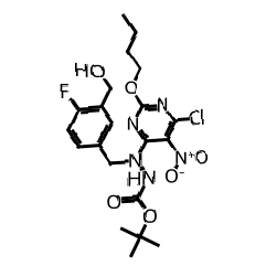 CCCCOc1nc(Cl)c([N+](=O)[O-])c(N(Cc2ccc(F)c(CO)c2)NC(=O)OC(C)(C)C)n1